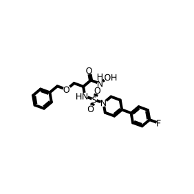 O=C(NO)C(COCc1ccccc1)NS(=O)(=O)N1CC=C(c2ccc(F)cc2)CC1